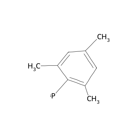 Cc1cc(C)c([P])c(C)c1